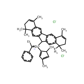 CC/[C](c1ccccc1)=[Zr+2](/[C]1=CC(C)=CC1C)[CH]1c2cc3c(cc2-c2cc4c(cc21)C(C)(C)CC=C4C)C(C)=CCC3(C)C.[Cl-].[Cl-]